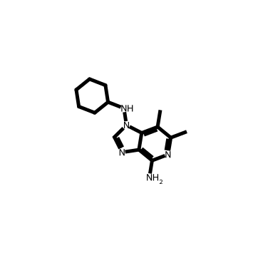 Cc1nc(N)c2ncn(NC3CCCCC3)c2c1C